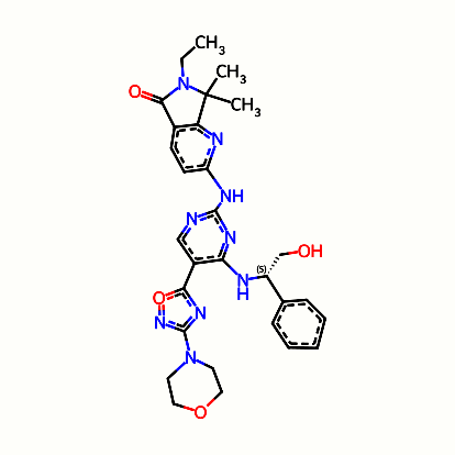 CCN1C(=O)c2ccc(Nc3ncc(-c4nc(N5CCOCC5)no4)c(N[C@H](CO)c4ccccc4)n3)nc2C1(C)C